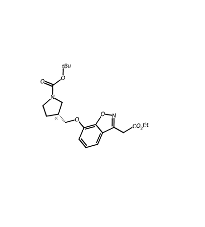 CCOC(=O)Cc1noc2c(OC[C@@H]3CCN(C(=O)OC(C)(C)C)C3)cccc12